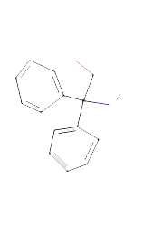 O=C(O)NC(CO)(c1ccccc1)c1ccccc1